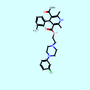 COC(=O)C1=C(C)NC(C)=C(C(=O)OCCN2CCN(c3cccc(Cl)c3)CC2)C1c1cccc(C(F)(F)F)c1